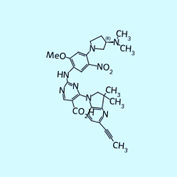 CC#Cc1ccc2c(n1)C(C)(C)CN2c1nc(Nc2cc([N+](=O)[O-])c(N3CC[C@@H](N(C)C)C3)cc2OC)ncc1C(=O)O